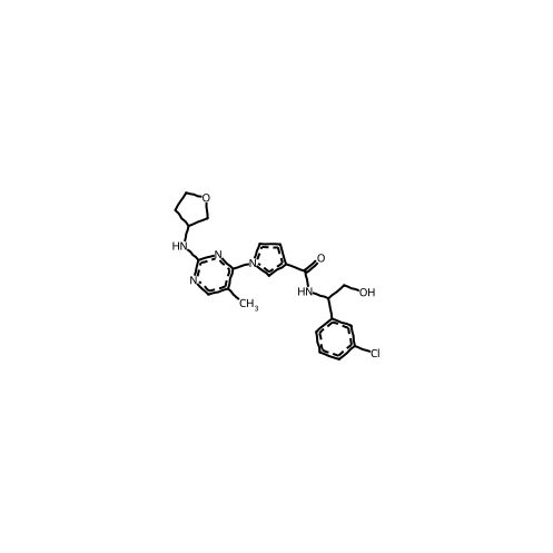 Cc1cnc(NC2CCOC2)nc1-n1ccc(C(=O)NC(CO)c2cccc(Cl)c2)c1